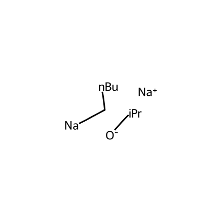 CC(C)[O-].CCCC[CH2][Na].[Na+]